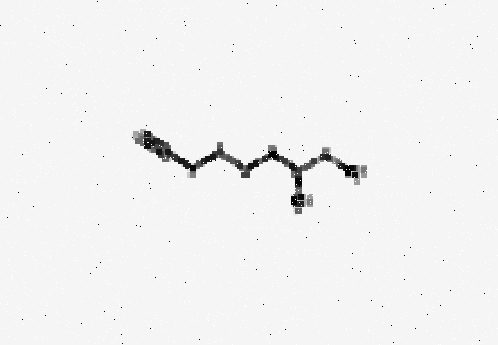 C#CCCCCC(O)CO